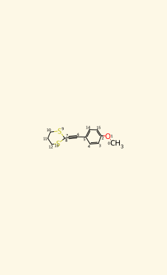 COc1ccc(C#CC2SCCCS2)cc1